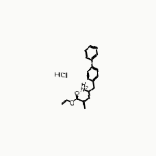 CCOC(=O)C(C)CC(N)Cc1ccc(-c2ccccc2)cc1.Cl